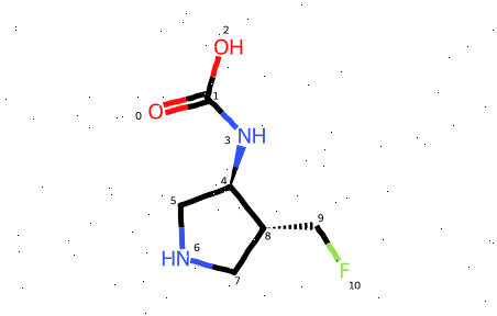 O=C(O)N[C@@H]1CNC[C@H]1CF